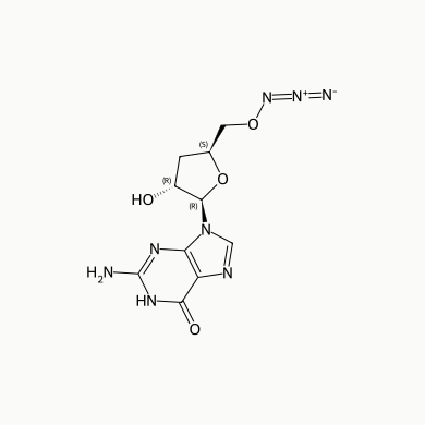 [N-]=[N+]=NOC[C@@H]1C[C@@H](O)[C@H](n2cnc3c(=O)[nH]c(N)nc32)O1